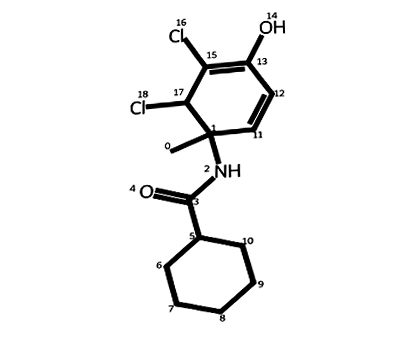 CC1(NC(=O)C2CCCCC2)C=CC(O)=C(Cl)C1Cl